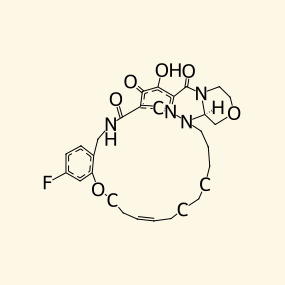 O=C1NCc2ccc(F)cc2OCC/C=C\CCCCCCCN2[C@@H]3COCCN3C(=O)c3c(O)c(=O)c1cn32